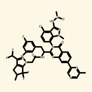 Cc1cncc(-c2ccc3c(=O)n(-c4ccc(Cl)c5c(N[S+](C)[O-])nn(C)c45)c(C(Cc4cc(F)cc(F)c4)NC(=O)Cn4nc(C(F)F)c5c4C(F)(F)C(C)C5)nc3c2)n1